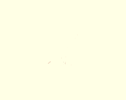 C#CCCOP(OCCOCCOCCC)N(C(C)C)C(C)C